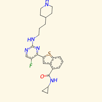 O=C(NC1CC1)c1cccc2sc(-c3nc(NCCCC4CCNCC4)ncc3F)cc12